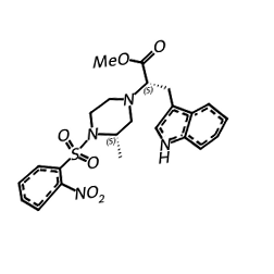 COC(=O)[C@H](Cc1c[nH]c2ccccc12)N1CCN(S(=O)(=O)c2ccccc2[N+](=O)[O-])[C@@H](C)C1